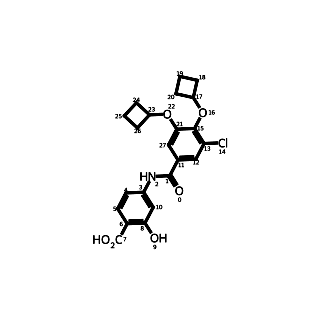 O=C(Nc1ccc(C(=O)O)c(O)c1)c1cc(Cl)c(OC2CCC2)c(OC2CCC2)c1